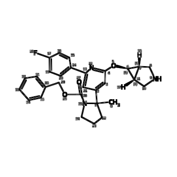 CC1(c2cc(O[C@H]3[C@@H]4CNC[C@@H]43)nc(-c3ccc(F)cc3)c2)CCCN1C(=O)OCc1ccccc1